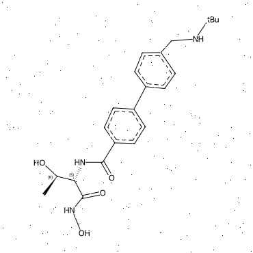 C[C@@H](O)[C@H](NC(=O)c1ccc(-c2ccc(CNC(C)(C)C)cc2)cc1)C(=O)NO